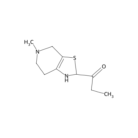 CCC(=O)C1NC2=C(CN(C)CC2)S1